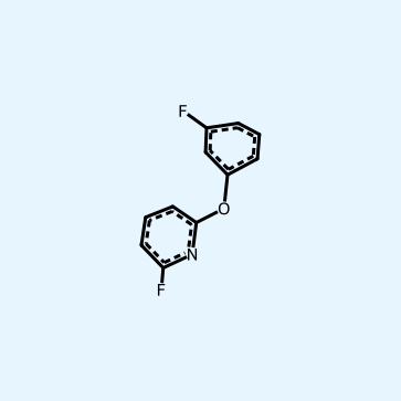 Fc1cccc(Oc2cccc(F)n2)c1